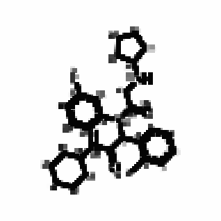 Cc1ccccc1C(C(=O)NC1CCCCC1)N(C(=O)CNC1CCCC1)c1cccc(F)c1